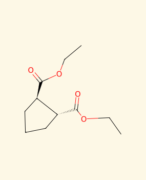 CCOC(=O)[C@@H]1CCC[C@H]1C(=O)OCC